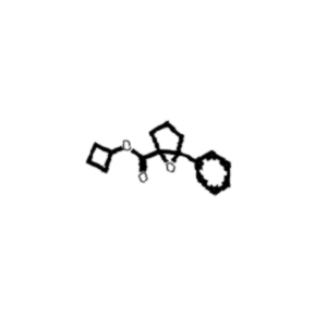 O=C(OC1CCC1)C12CCCC1(c1ccccc1)O2